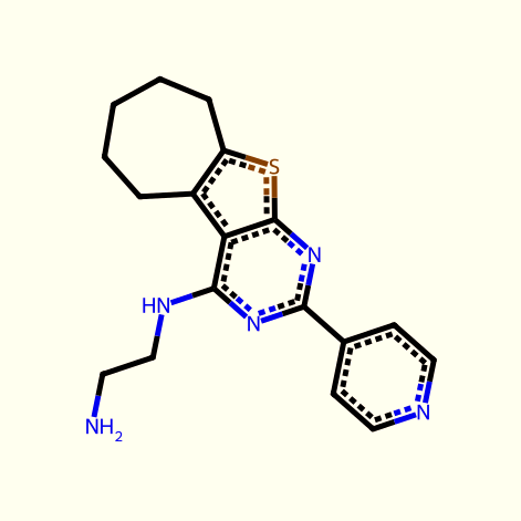 NCCNc1nc(-c2ccncc2)nc2sc3c(c12)CCCCC3